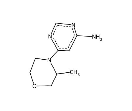 CC1COCCN1c1cc(N)ncn1